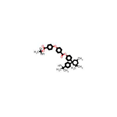 CCCC(C)(CC)OC(=O)c1ccc(Oc2ccc(C(=O)Oc3ccc(C4(c5ccc(C(C)(C)CCC)cc5)CC(C)CC(C)(C)C4)cc3)cc2)cc1